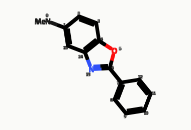 CNc1ccc2oc(-c3ccccc3)nc2c1